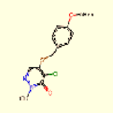 CCCCCCOc1ccc(CSc2cnn(C(C)(C)C)c(=O)c2Cl)cc1